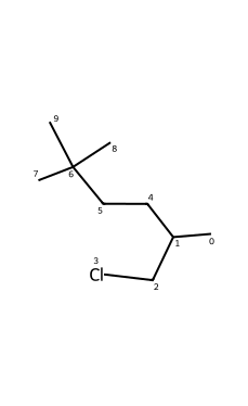 CC(CCl)CCC(C)(C)C